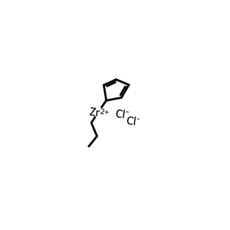 CC[CH2][Zr+2][CH]1C=CC=C1.[Cl-].[Cl-]